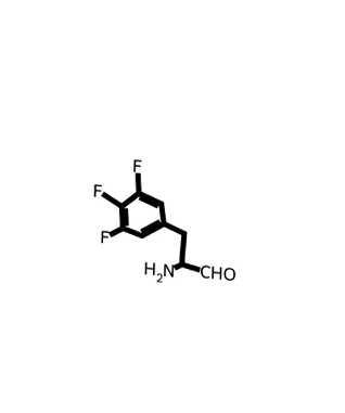 NC(C=O)Cc1cc(F)c(F)c(F)c1